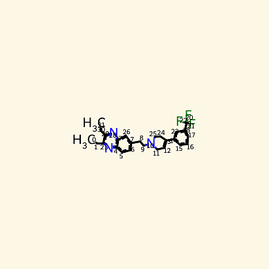 CCc1nc2ccc(CCN3CC=C(c4cccc(C(F)(F)F)c4)CC3)cc2nc1CC